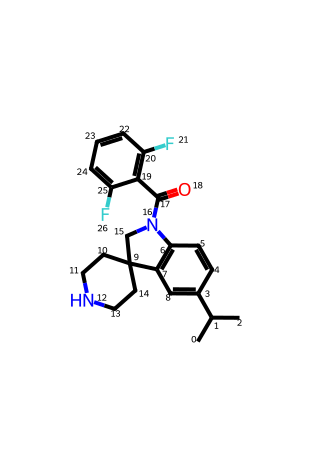 CC(C)c1ccc2c(c1)C1(CCNCC1)CN2C(=O)c1c(F)cccc1F